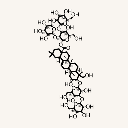 C[C@@H]1O[C@@H](O[C@H]2[C@H](OC(=O)[C@]34CCC(C)(C)C[C@H]3C3=CC[C@@H]5[C@@]6(C)C[C@H](O)[C@H](O[C@@H]7O[C@H](CO)[C@@H](O)[C@H](O[C@@H]8O[C@H](CO)[C@@H](O)[C@H](O)[C@H]8O)[C@H]7O)[C@@](C)(CO)[C@@H]6CC[C@@]5(C)[C@]3(C)CC4)O[C@H](CO)[C@@H](O)[C@@H]2O[C@@H]2O[C@H](CO)[C@@H](O)[C@H](O)[C@H]2O)[C@H](O)[C@H](O)[C@H]1O